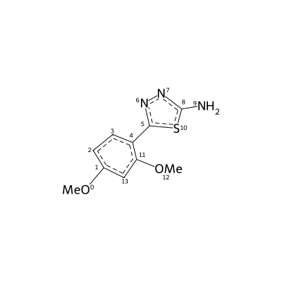 COc1ccc(-c2nnc(N)s2)c(OC)c1